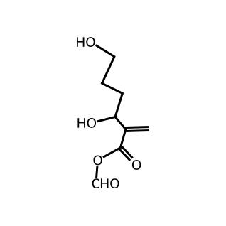 C=C(C(=O)OC=O)C(O)CCCO